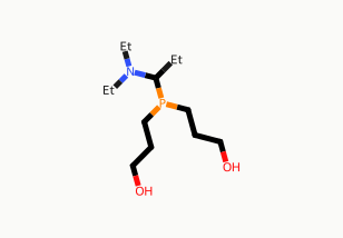 CCC(N(CC)CC)P(CCCO)CCCO